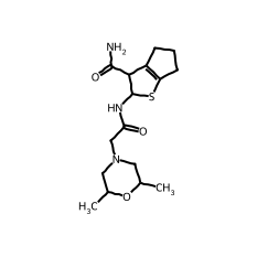 CC1CN(CC(=O)NC2SC3=C(CCC3)C2C(N)=O)CC(C)O1